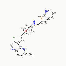 Cc1ccc2ncc(F)c(CCC34CCC(NCc5cc6cccnc6s5)(CC3)CO4)c2n1